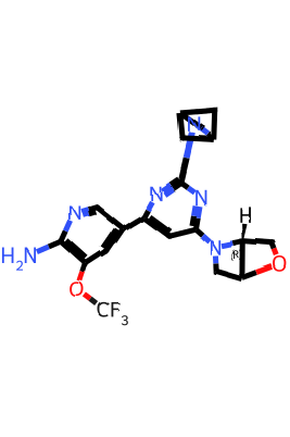 Nc1ncc(-c2cc(N3CC4OC[C@H]43)nc(N3CC4CC3C4)n2)cc1OC(F)(F)F